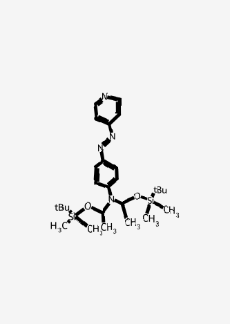 CC(O[Si](C)(C)C(C)(C)C)N(c1ccc(N=Nc2ccncc2)cc1)C(C)O[Si](C)(C)C(C)(C)C